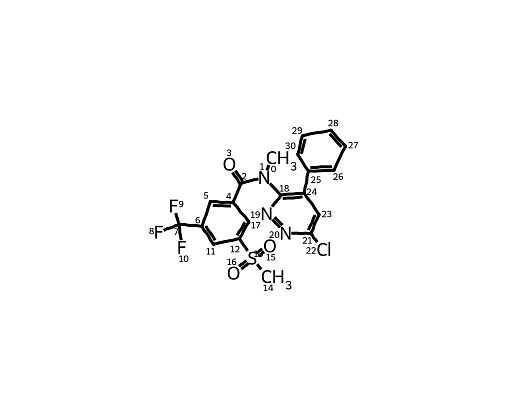 CN(C(=O)c1cc(C(F)(F)F)cc(S(C)(=O)=O)c1)c1nnc(Cl)cc1-c1ccccc1